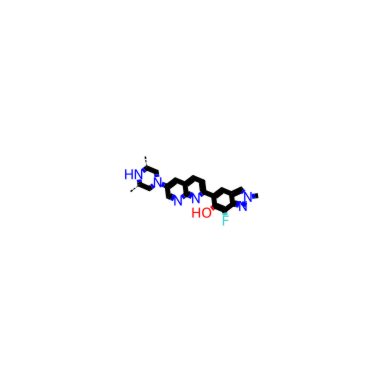 C[C@@H]1CN(c2cnc3nc(-c4cc5cn(C)nc5c(F)c4O)ccc3c2)C[C@H](C)N1